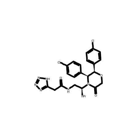 CCC[C@@H](CNC(=O)Cc1nnn[nH]1)N1C(=O)CO[C@H](c2ccc(Cl)cc2)[C@@H]1c1ccc(Cl)cc1